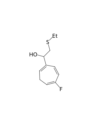 CCSCC(O)C1=CCC=C(F)C=C1